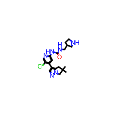 CC1(C)Cc2c(-c3cc(NC(=O)NCC4CCNC4)ncc3Cl)cnn2C1